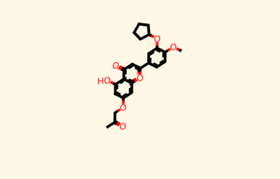 COc1ccc(-c2cc(=O)c3c(O)cc(OCC(C)=O)cc3o2)cc1OC1CCCC1